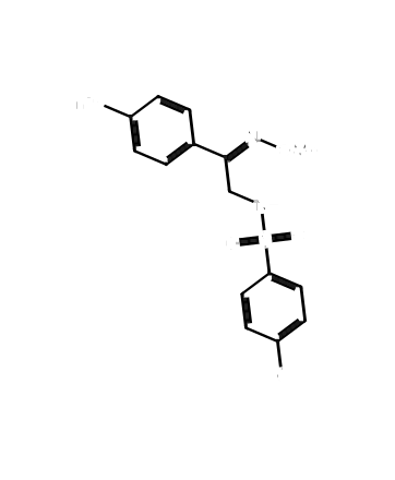 CCCc1ccc(C(CNS(=O)(=O)c2ccc(Cl)cc2)=NOC)cc1